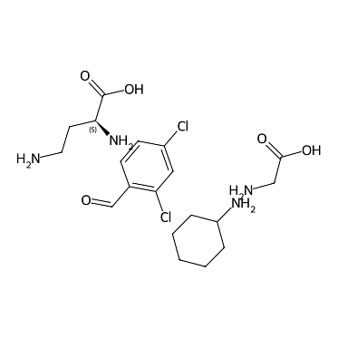 NC1CCCCC1.NCC(=O)O.NCC[C@H](N)C(=O)O.O=Cc1ccc(Cl)cc1Cl